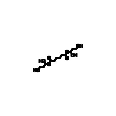 O=C(CCCCC(=O)OC(O)CCO)OC(O)CCO